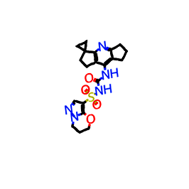 O=C(Nc1c2c(nc3c1CCC31CC1)CCC2)NS(=O)(=O)c1cnn2c1OCCC2